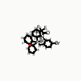 O=C(Nc1cc(Br)ccc1CP(Br)(c1ccccc1)(c1ccccc1)c1ccccc1)C(F)(F)F